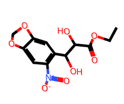 CCOC(=O)C(O)C(O)c1cc2c(cc1[N+](=O)[O-])OCO2